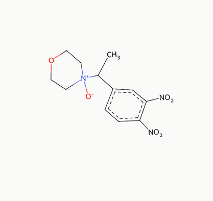 CC(c1ccc([N+](=O)[O-])c([N+](=O)[O-])c1)[N+]1([O-])CCOCC1